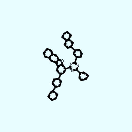 c1ccc(-c2ccc(-c3cc(-c4nc(-c5ccccc5)nc(-c5cccc(-c6ccc7ccccc7c6)c5)n4)c4oc5cc6ccccc6cc5c4c3)cc2)cc1